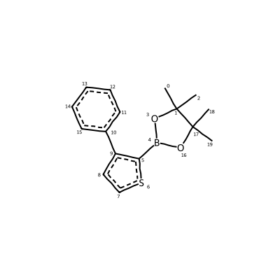 CC1(C)OB(c2sccc2-c2ccccc2)OC1(C)C